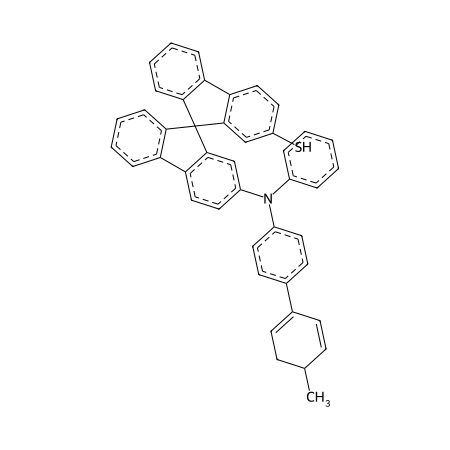 CC1C=CC(c2ccc(N(c3ccccc3)c3ccc4c(c3)C3(c5ccccc5-c5ccc(S)cc53)c3ccccc3-4)cc2)=CC1